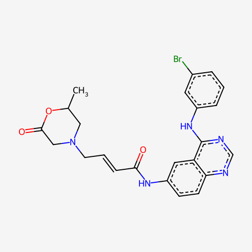 CC1CN(CC=CC(=O)Nc2ccc3ncnc(Nc4cccc(Br)c4)c3c2)CC(=O)O1